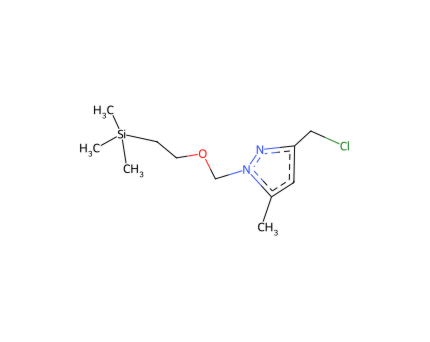 Cc1cc(CCl)nn1COCC[Si](C)(C)C